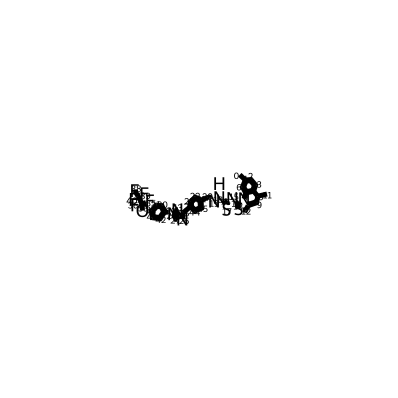 Cc1ccc2c(c1)N1C(=CC2C)CS/C1=N\C(=S)N/N=C/c1ccc(-c2ncn(-c3ccc(OC(F)(F)C(F)(F)F)cc3)n2)cc1